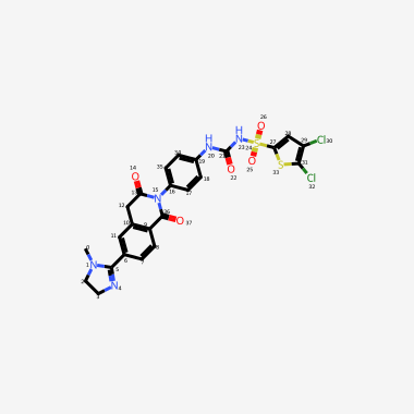 CN1CCN=C1c1ccc2c(c1)CC(=O)N(c1ccc(NC(=O)NS(=O)(=O)c3cc(Cl)c(Cl)s3)cc1)C2=O